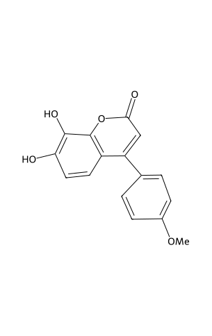 COc1ccc(-c2cc(=O)oc3c(O)c(O)ccc23)cc1